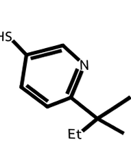 CCC(C)(C)c1ccc(S)cn1